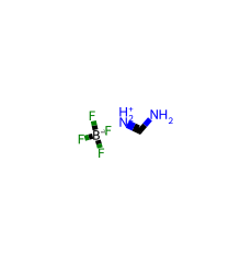 F[B-](F)(F)F.NC=[NH2+]